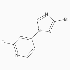 Fc1cc(-n2cnc(Br)n2)ccn1